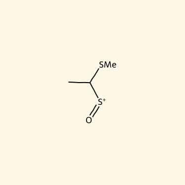 CSC(C)[S+]=O